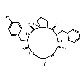 O=C1CNC(=O)[C@@H](Cc2ccc(O)cc2)NC(=O)[C@@H]2CCCN2C(=O)[C@@H](Cc2ccccc2)NC(=O)CN1